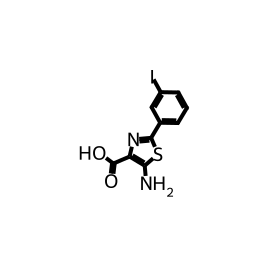 Nc1sc(-c2cccc(I)c2)nc1C(=O)O